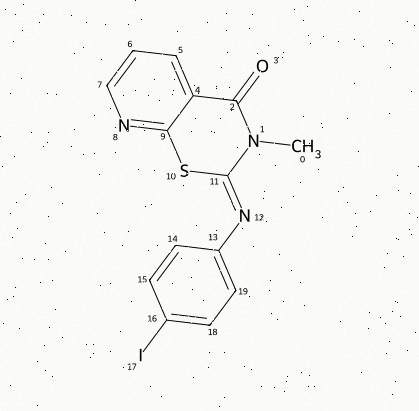 Cn1c(=O)c2cccnc2s/c1=N\c1ccc(I)cc1